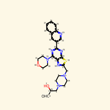 O=C[C@@H](O)CN1CCN(Cc2nc3c(N4CCOCC4)nc(-c4cnc5ccccc5c4)nc3s2)CC1